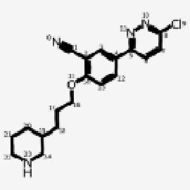 N#Cc1cc(-c2ccc(Cl)nn2)ccc1OCCCC1CCCNC1